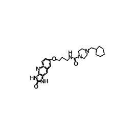 O=C(NCCCOc1ccc2nc3[nH]c(=O)[nH]c3cc2c1)N1CCN(CC2CCCCC2)CC1